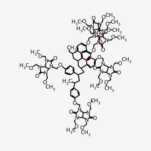 CCC(CC(CC(CC(CC(C)c1ccc(OCN2C(=O)N(COC)C3C2N(COC)C(=O)N3COC)cc1)c1ccc(OCN2C(=O)N(COC)C3C2N(COC)C(=O)N3COC)cc1)c1ccc(OCN2C(=O)N(COC)C3C2N(COC)C(=O)N3COC)cc1)c1ccc(OCN2C(=O)N(COC)C3C2N(COC)C(=O)N3COC)cc1)c1ccc(OCN2C(=O)N(COC)C3C2N(COC)C(=O)N3COC)cc1